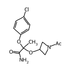 CC(=O)N1CC(OC(C)(Oc2ccc(Cl)cc2)C(N)=O)C1